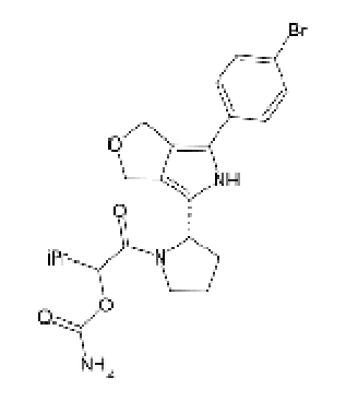 CC(C)C(OC(N)=O)C(=O)N1CCC[C@H]1c1[nH]c(-c2ccc(Br)cc2)c2c1COC2